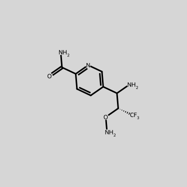 NO[C@H](C(N)c1ccc(C(N)=O)nc1)C(F)(F)F